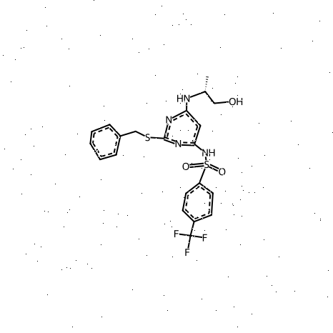 C[C@H](CO)Nc1cc(NS(=O)(=O)c2ccc(C(F)(F)F)cc2)nc(SCc2ccccc2)n1